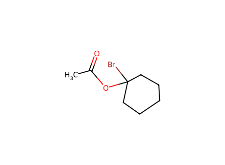 CC(=O)OC1(Br)CCCCC1